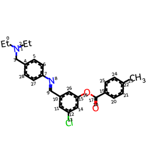 CCN(CC)Cc1ccc(N=Cc2cc(Cl)cc(OC(=O)c3ccc(C)cc3)c2)cc1